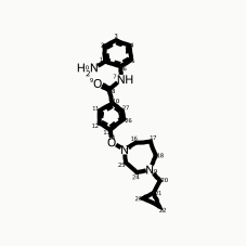 Nc1ccccc1NC(=O)c1ccc(ON2CCCN(CC3CC3)CC2)cc1